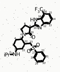 CC(C)NC1CCC(N2CCC(c3nc4cccc(C(F)(F)F)c4[nH]3)C2=O)C(CS(=O)(=O)c2ccccc2)C1